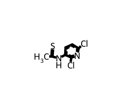 CC(=S)Nc1ccc(Cl)nc1Cl